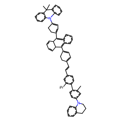 Cc1cc(N2CCCc3ccccc32)ccc1-c1ccc(/C=C/C2=CC=C(C3=c4ccccc4=C(C4=CC=C(N5c6ccccc6C(C)(C)c6ccccc65)CC4)C4C=CC=CC34)CC2)cc1C(C)C